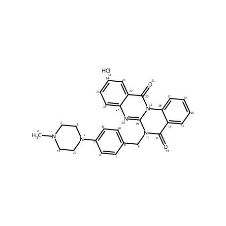 CN1CCN(c2ccc(Cn3c(=O)c4ccccc4n4c(=O)c5ccccc5nc34)cc2)CC1.Cl